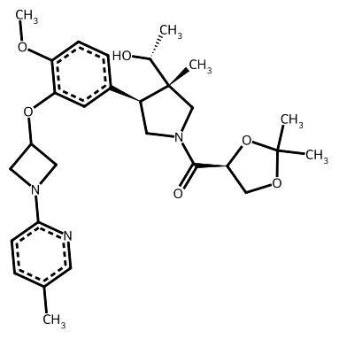 COc1ccc([C@@H]2CN(C(=O)[C@@H]3COC(C)(C)O3)C[C@@]2(C)[C@@H](C)O)cc1OC1CN(c2ccc(C)cn2)C1